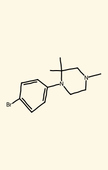 CN1CCN(c2ccc(Br)cc2)C(C)(C)C1